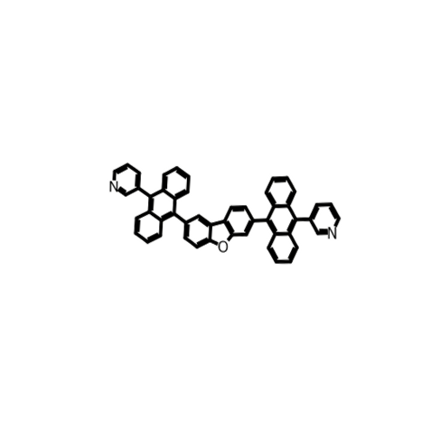 c1cncc(-c2c3ccccc3c(-c3ccc4c(c3)oc3ccc(-c5c6ccccc6c(-c6cccnc6)c6ccccc56)cc34)c3ccccc23)c1